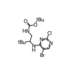 CC(C)(C)OC(=O)NCC(Nc1nc(Cl)ncc1Br)C(C)(C)C